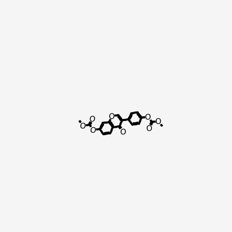 COC(=O)Oc1ccc(-c2coc3cc(OC(=O)OC)ccc3c2=O)cc1